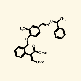 COC=C(C(=O)OC)c1ccccc1COc1ccc(C=NOC(C)c2ccccc2)cc1C